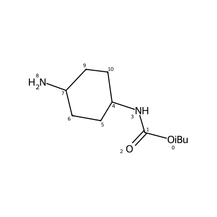 CC(C)COC(=O)NC1CCC(N)CC1